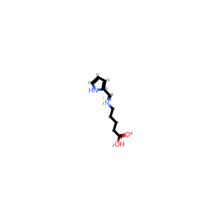 O=C(O)CCCC/N=C/c1ccc[nH]1